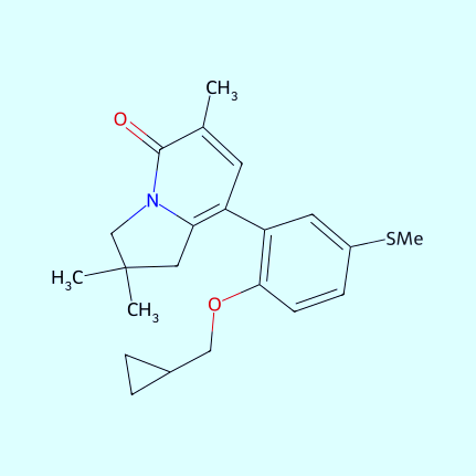 CSc1ccc(OCC2CC2)c(-c2cc(C)c(=O)n3c2CC(C)(C)C3)c1